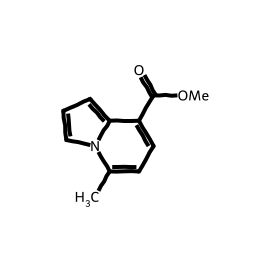 COC(=O)c1ccc(C)n2cccc12